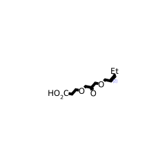 CC/C=C\COCC(=O)COCCC(=O)O